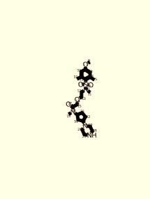 COc1cc(C)c(S(=O)(=O)N(C)CCOCC(=O)N(C)C2CCC(N3CCNCC3)C2)c(C)c1